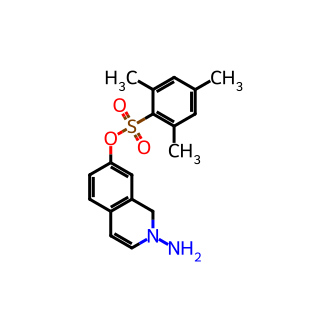 Cc1cc(C)c(S(=O)(=O)Oc2ccc3c(c2)CN(N)C=C3)c(C)c1